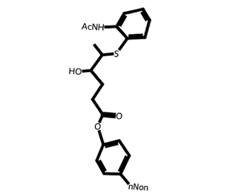 CCCCCCCCCc1ccc(OC(=O)CCC(O)C(C)Sc2ccccc2NC(C)=O)cc1